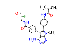 C=C(C)C(=O)Nc1ccc(-c2c(C3=CC[C@H](C(=O)NCC4(F)COC4)CC3)c3c(N)ncnc3n2C)cc1